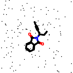 CC#CC(CC)N1C(=O)c2ccccc2C1=O